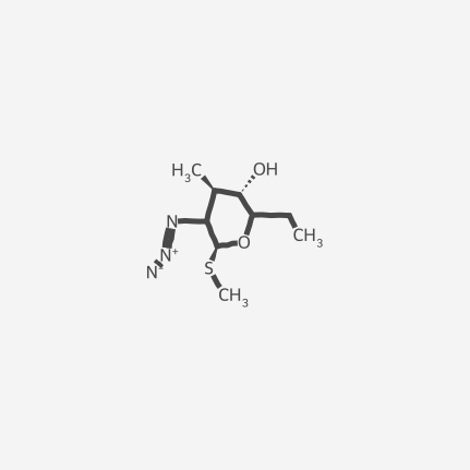 CCC1O[C@@H](SC)C(N=[N+]=[N-])[C@@H](C)[C@@H]1O